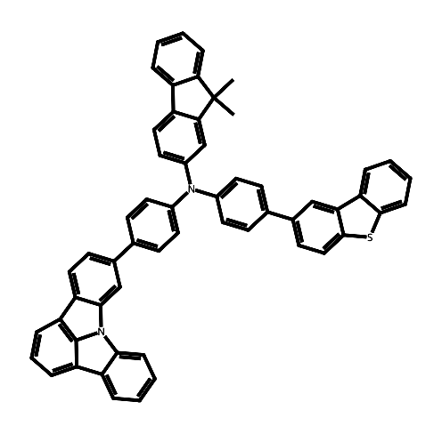 CC1(C)c2ccccc2-c2ccc(N(c3ccc(-c4ccc5sc6ccccc6c5c4)cc3)c3ccc(-c4ccc5c6cccc7c8ccccc8n(c5c4)c76)cc3)cc21